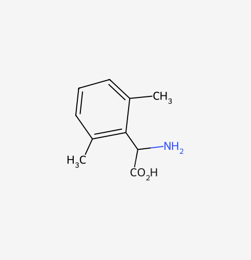 Cc1cccc(C)c1C(N)C(=O)O